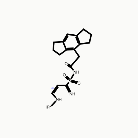 CC(C)N/C=C\C(=N)S(=O)(=O)NC(=O)Cc1c2c(cc3c1CCC3)CCC2